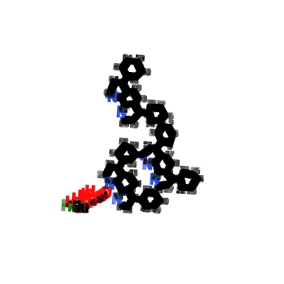 Cl.O.O.O.O.O.[Ru].c1ccc(-c2ccnc3c2ccc2c(-c4ccccc4)ccnc23)cc1.c1ccc(-c2ccnc3c2ccc2c(-c4ccccc4)ccnc23)cc1.c1ccc(-c2ccnc3c2ccc2c(-c4ccccc4)ccnc23)cc1